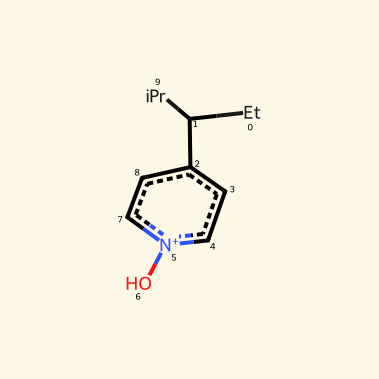 CCC(c1cc[n+](O)cc1)C(C)C